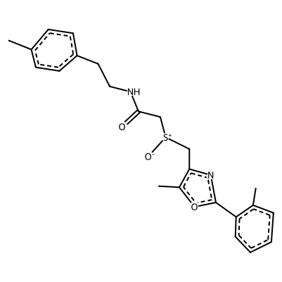 Cc1ccc(CCNC(=O)C[S+]([O-])Cc2nc(-c3ccccc3C)oc2C)cc1